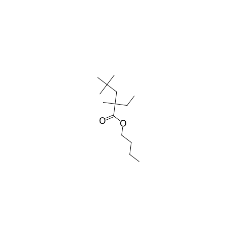 CCCCOC(=O)C(C)(CC)CC(C)(C)C